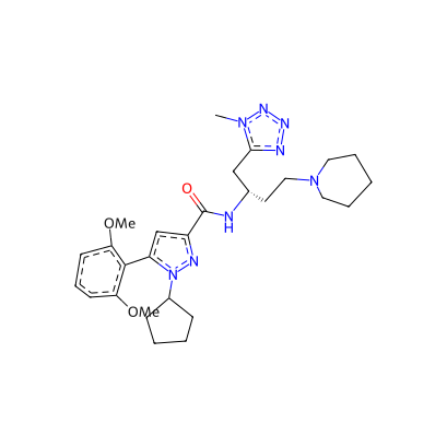 COc1cccc(OC)c1-c1cc(C(=O)N[C@@H](CCN2CCCCC2)Cc2nnnn2C)nn1C1CCCC1